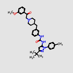 COc1cccc(C(=O)CN2CCC(Cc3cccc(NC(=O)Nc4cc(C(C)(C)C)nn4-c4ccc(C)cc4)c3)CC2)c1